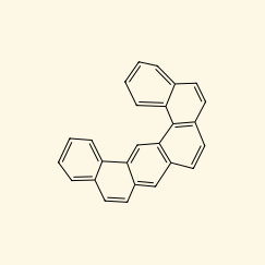 c1ccc2c(c1)ccc1cc3ccc4ccc5ccccc5c4c3cc12